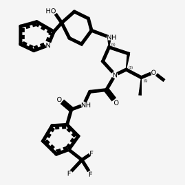 CO[C@@H](C)[C@@H]1C[C@H](NC2CCC(O)(c3ccccn3)CC2)CN1C(=O)CNC(=O)c1cccc(C(F)(F)F)c1